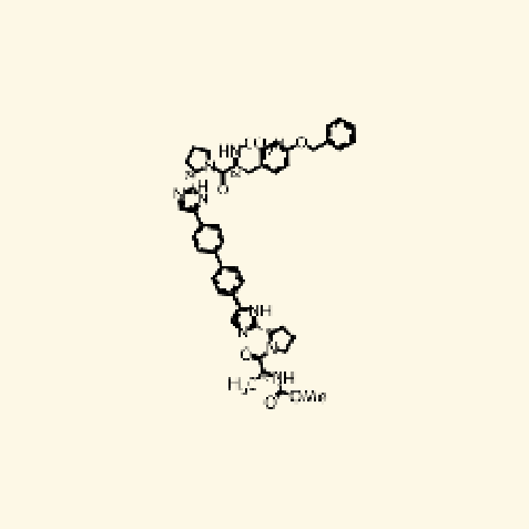 COC(=O)N[C@@H](C)C(=O)N1CCC[C@H]1c1ncc(-c2ccc(-c3ccc(-c4cnc([C@@H]5CCCN5C(=O)[C@H](Cc5ccc(OCc6ccccc6)cc5)NC(=O)O)[nH]4)cc3)cc2)[nH]1